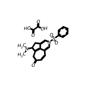 CN(C)C1CC2=CN(S(=O)(=O)c3ccccc3)C=C3C=CC(=O)CC1=C32.O=C(O)C(=O)O